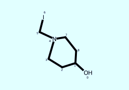 OC1CCN(CI)CC1